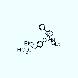 CCO/N=C(\COc1ccc(CC(OCC)C(=O)O)cc1)c1nc(-c2ccccc2)co1